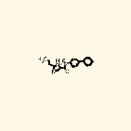 CCCc1ncc(C(=O)N(C)c2ccc(-c3ccccc3)cc2)[nH]1